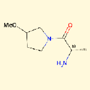 COC1CCN(C(=O)[C@H](C)N)C1